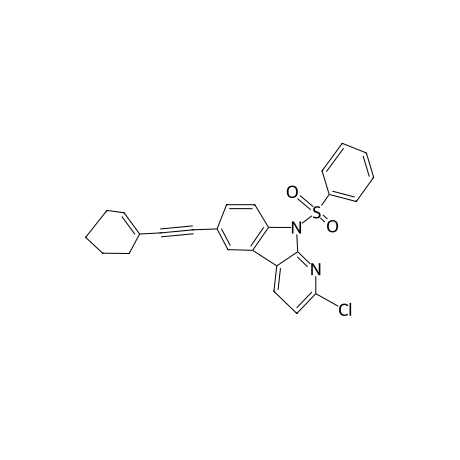 O=S(=O)(c1ccccc1)n1c2ccc(C#CC3=CCCCC3)cc2c2ccc(Cl)nc21